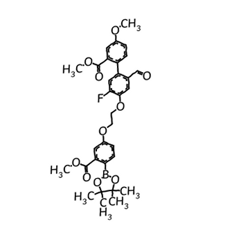 COC(=O)c1cc(OCCOc2cc(C=O)c(-c3ccc(OC)cc3C(=O)OC)cc2F)ccc1B1OC(C)(C)C(C)(C)O1